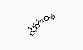 O=C(NCc1ccc(-n2nccn2)cc1)c1ccc2c(c1)NC(=O)c1ccccc1S2